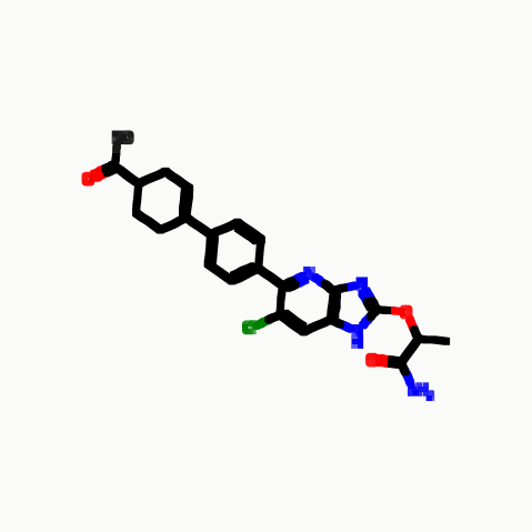 CC(Oc1nc2nc(-c3ccc(C4=CCC(C(=O)N=O)CC4)cc3)c(Cl)cc2[nH]1)C(N)=O